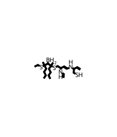 BC(C(C)(CCCC)SCC)C(C)(CCCC)SCC(C=CNC(C=C)CS)NC=C